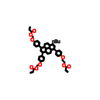 C=CC(=O)OCCOc1ccc(-c2cc(CCCC)c3ccc4c(-c5ccc(OCOC(=O)C=C)cc5)cc(-c5ccc(OCOC(=O)C=C)cc5)c5ccc2c3c45)cc1